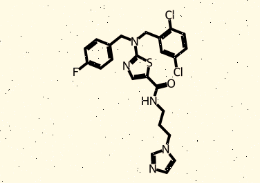 O=C(NCCCn1ccnc1)c1cnc(N(Cc2ccc(F)cc2)Cc2cc(Cl)ccc2Cl)s1